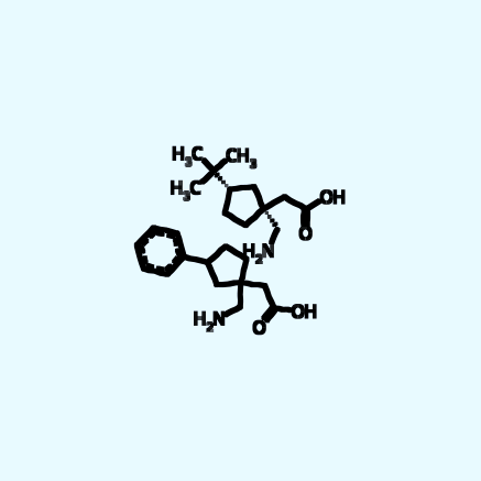 CC(C)(C)[C@H]1CC[C@](CN)(CC(=O)O)C1.NCC1(CC(=O)O)CCC(c2ccccc2)C1